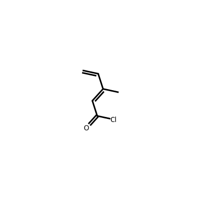 C=CC(C)=CC(=O)Cl